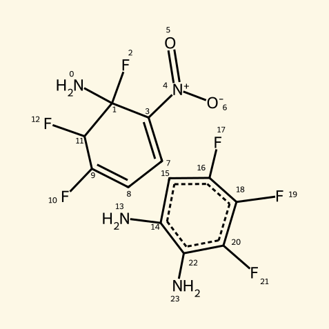 NC1(F)C([N+](=O)[O-])=CC=C(F)C1F.Nc1cc(F)c(F)c(F)c1N